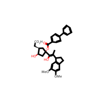 COc1cc2c(cc1OC)C(C(C)=C(O)[C@]1(OC(=O)c3ccc(-c4ccccc4)cc3)C[C@H](CC(=O)O)[C@H](O)C1)CC2